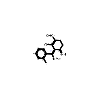 CN/C(=C1\C(=N)CCC(C=O)=C1Cl)c1ccccc1C